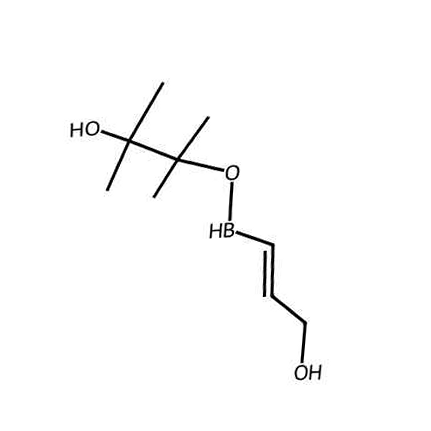 CC(C)(O)C(C)(C)OB/C=C/CO